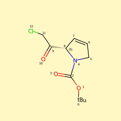 CC(C)(C)OC(=O)N1CC=C[C@H]1C(=O)CCl